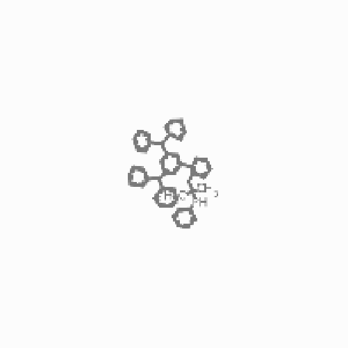 CC(C)(Cc1ccccc1-c1cc(C(c2ccccc2)c2ccccc2)cc(C(c2ccccc2)c2ccccc2)c1)Pc1ccccc1